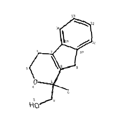 CC1(CO)OCCC2=C1Cc1ccccc12